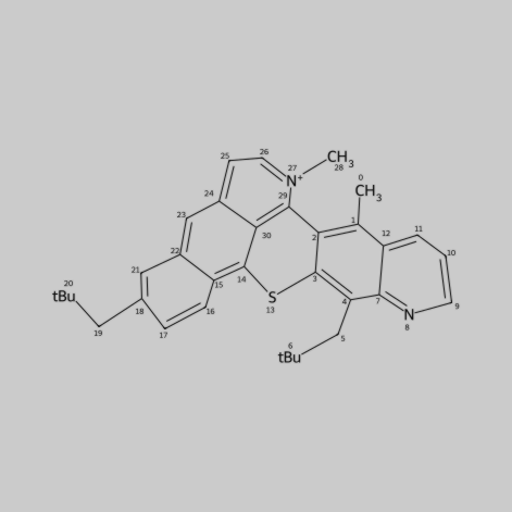 Cc1c2c(c(CC(C)(C)C)c3ncccc13)Sc1c3ccc(CC(C)(C)C)cc3cc3cc[n+](C)c-2c13